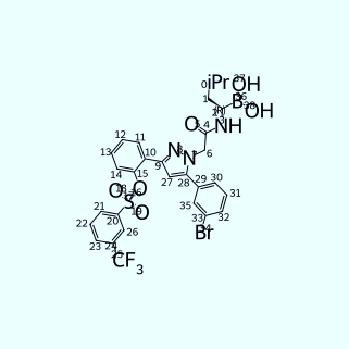 CC(C)C[C@H](NC(=O)Cn1nc(-c2ccccc2OS(=O)(=O)c2cccc(C(F)(F)F)c2)cc1-c1cccc(Br)c1)B(O)O